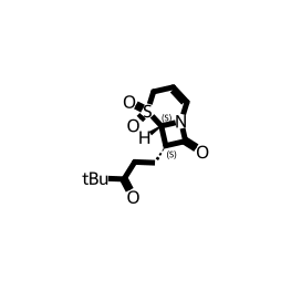 CC(C)(C)C(=O)CC[C@H]1C(=O)N2C=CCS(=O)(=O)[C@@H]12